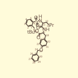 Cc1ccccc1S(=O)(=O)NC(CC(C)C)C(=O)NC(Cc1ccc(OCc2ccccc2)cc1)C(=O)OC(C)(C)C